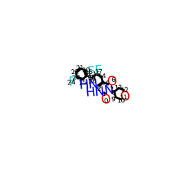 O=c1[nH]c2c(c(=O)n1C1CCOCC1)CC(F)(F)[C@H](c1cccc(F)c1)N2